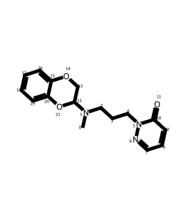 CN(CCCn1ncccc1=O)C1COc2ccccc2O1